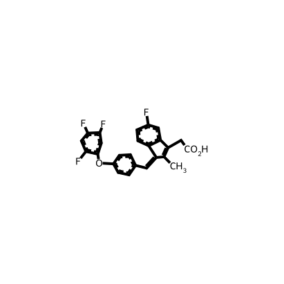 CC1=C(CC(=O)O)c2cc(F)ccc2/C1=C\c1ccc(Oc2cc(F)c(F)cc2F)cc1